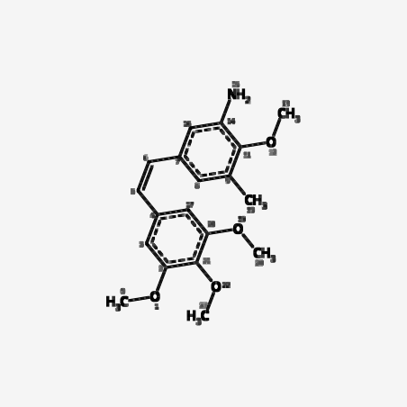 COc1cc(/C=C\c2cc(C)c(OC)c(N)c2)cc(OC)c1OC